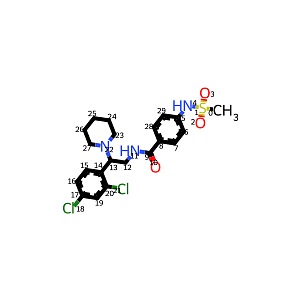 CS(=O)(=O)Nc1ccc(C(=O)NCC(c2ccc(Cl)cc2Cl)N2CCCCC2)cc1